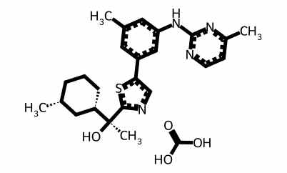 Cc1cc(Nc2nccc(C)n2)cc(-c2cnc([C@@](C)(O)[C@H]3CCC[C@@H](C)C3)s2)c1.O=C(O)O